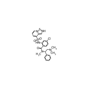 CN(C)CC(c1ccccc1)N(C)C(=O)c1ccc(Cl)cc1NS(=O)(=O)C1=CC=CN2SNC=C12